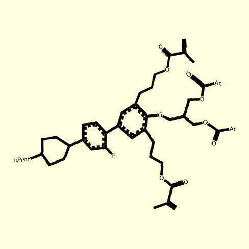 C=C(C)C(=O)OCCCc1cc(-c2ccc(C3CCC(CCCCC)CC3)cc2F)cc(CCCOC(=O)C(=C)C)c1OCC(COC(=O)C(C)=O)COC(=O)C(C)=O